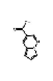 O=C(O)c1cnn2cccc2c1